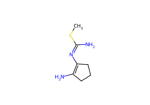 CS/C(N)=N/C1=C(N)CCC1